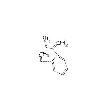 C=CC(=C)c1ccccc1C=C